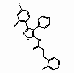 Cc1ccccc1CCC(=O)Nc1onc(-c2ccc(F)cc2F)c1-c1ccncc1